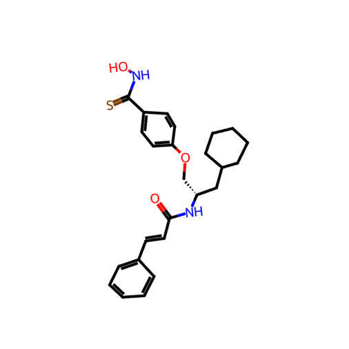 O=C(/C=C/c1ccccc1)N[C@H](COc1ccc(C(=S)NO)cc1)CC1CCCCC1